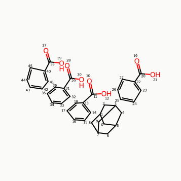 C1C2CC3CC1CC(C2)C3.O=C(O)c1ccccc1.O=C(O)c1ccccc1.O=C(O)c1ccccc1.O=C(O)c1ccccc1